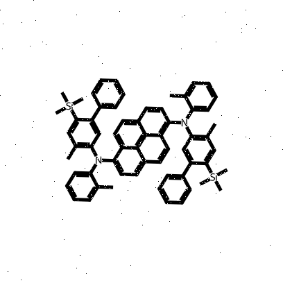 Cc1ccccc1N(c1cc(-c2ccccc2)c([Si](C)(C)C)cc1C)c1ccc2ccc3c(N(c4ccccc4C)c4cc(-c5ccccc5)c([Si](C)(C)C)cc4C)ccc4ccc1c2c43